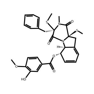 COc1ccc(C(=O)O[C@H]2C=CC=C3C[C@@]4(SC)C(=O)N(C)[C@](Cc5ccccc5)(SC)C(=O)N4[C@@H]32)cc1O